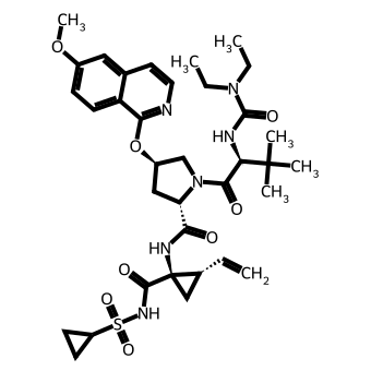 C=C[C@@H]1C[C@]1(NC(=O)[C@@H]1C[C@@H](Oc2nccc3cc(OC)ccc23)CN1C(=O)[C@@H](NC(=O)N(CC)CC)C(C)(C)C)C(=O)NS(=O)(=O)C1CC1